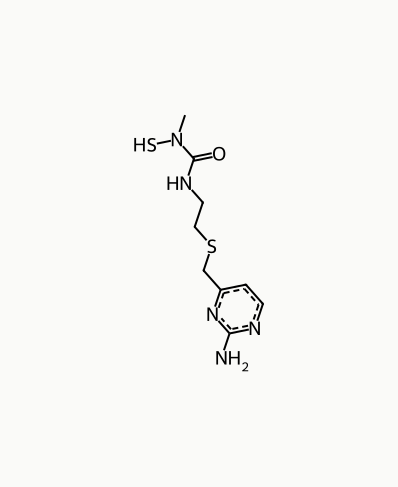 CN(S)C(=O)NCCSCc1ccnc(N)n1